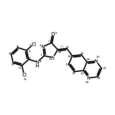 O=C1N=C(Nc2c(Cl)cccc2Cl)S/C1=C\c1ccc2nccnc2c1